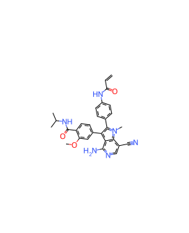 C=CC(=O)Nc1ccc(-c2c(-c3ccc(C(=O)NC(C)C)c(OC)c3)c3c(N)ncc(C#N)c3n2C)cc1